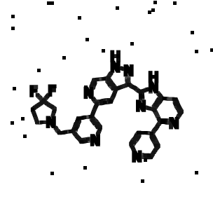 FC1(F)CCN(Cc2cncc(-c3cc4c(-c5nc6c(-c7ccncc7)nccc6[nH]5)n[nH]c4cn3)c2)C1